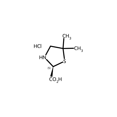 CC1(C)CN[C@H](C(=O)O)S1.Cl